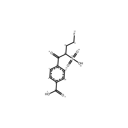 O=C(O)c1ccc(C(=O)C(CCF)S(=O)(=O)O)cc1